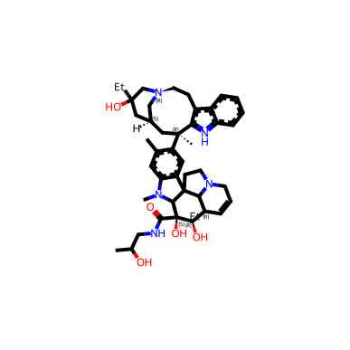 CCC1(O)C[C@H]2C[N@](CCc3c([nH]c4ccccc34)[C@@](C)(c3cc4c(cc3C)N(C)C3C45CCN4CC=C[C@](CC)(C45)[C@@H](O)[C@]3(O)C(=O)NCC(C)O)C2)C1